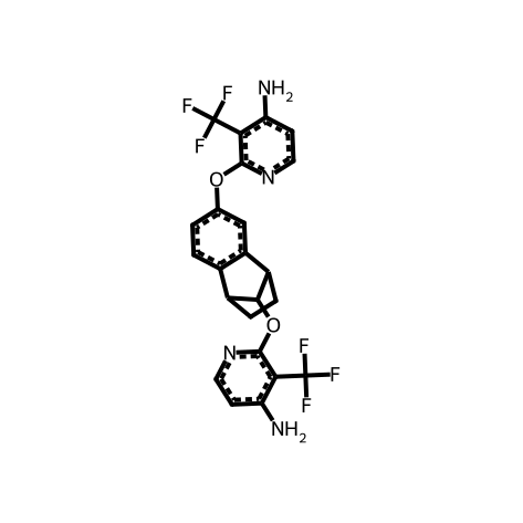 Nc1ccnc(Oc2ccc3c(c2)C2CCC3C2Oc2nccc(N)c2C(F)(F)F)c1C(F)(F)F